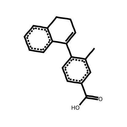 Cc1cc(C(=O)O)ccc1C1=CCCc2ccccc21